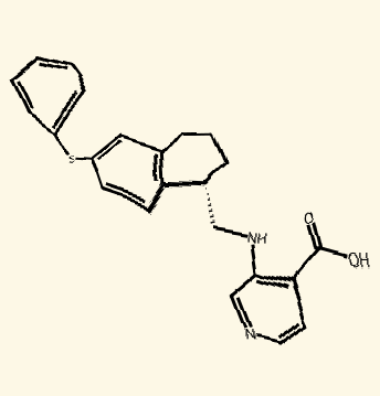 O=C(O)c1ccncc1NC[C@H]1CCCc2cc(Sc3ccccc3)ccc21